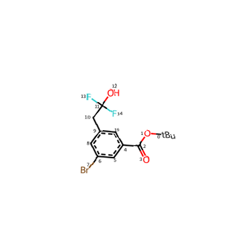 CC(C)(C)OC(=O)c1cc(Br)cc(CC(O)(F)F)c1